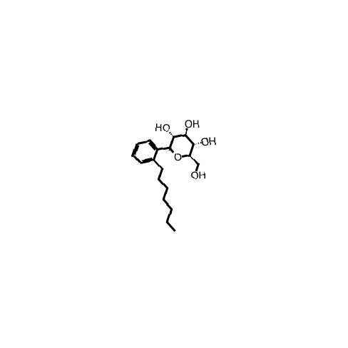 CCCCCCCc1ccccc1[C]1O[C@H](CO)[C@@H](O)[C@H](O)[C@H]1O